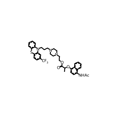 CC(=O)Nc1ccc(OC(C)C(=O)OCCN2CCN(CCCN3c4ccccc4Sc4ccc(C(F)(F)F)cc43)CC2)c2ccccc12